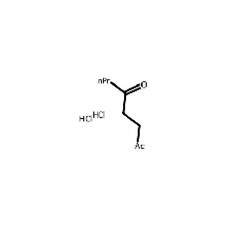 CCCC(=O)CCC(C)=O.Cl.Cl